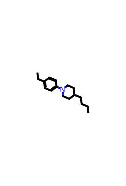 CCCCC1CCN(c2ccc(CC)cc2)CC1